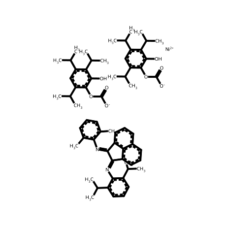 CC(C)c1cc(C(C)C)c(C(C)C)c(O)c1OC(=O)[O-].CC(C)c1cc(C(C)C)c(C(C)C)c(O)c1OC(=O)[O-].Cc1cccc(C)c1N=C1C(=Nc2c(C(C)C)cccc2C(C)C)c2cccc3cccc1c23.[Ni+2]